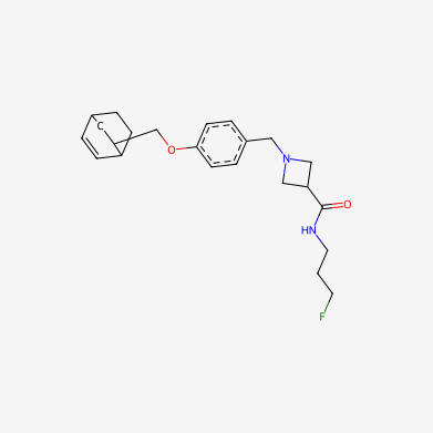 O=C(NCCCF)C1CN(Cc2ccc(OCC3CC4C=CC3CC4)cc2)C1